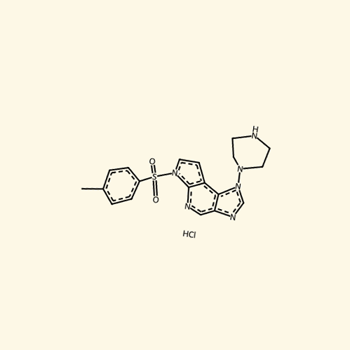 Cc1ccc(S(=O)(=O)n2ccc3c4c(cnc32)ncn4N2CCNCC2)cc1.Cl